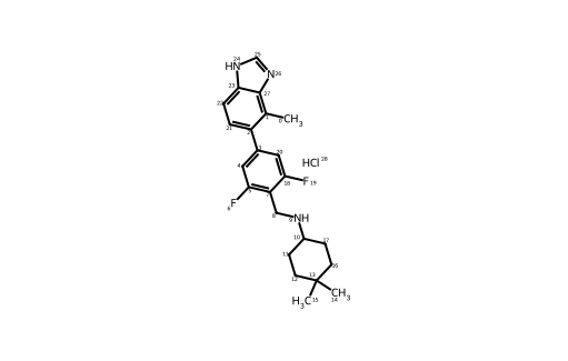 Cc1c(-c2cc(F)c(CNC3CCC(C)(C)CC3)c(F)c2)ccc2[nH]cnc12.Cl